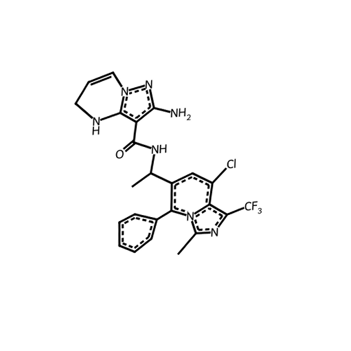 Cc1nc(C(F)(F)F)c2c(Cl)cc(C(C)NC(=O)c3c(N)nn4c3NCC=C4)c(-c3ccccc3)n12